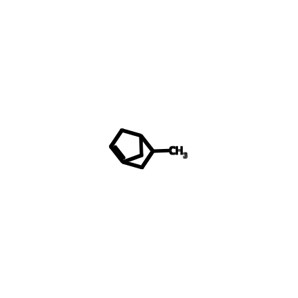 CC1CC2=CCC1C2